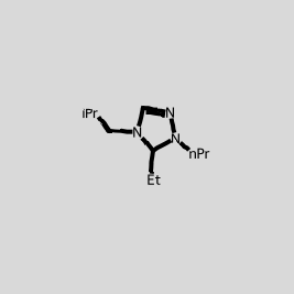 CCCN1N=CN(CC(C)C)C1CC